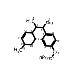 CCCCCOc1ccc(C(C(C)C2C=CC(C)CC2)C(C)(C)C)cc1